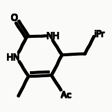 CC(=O)C1=C(C)NC(=O)NC1CC(C)C